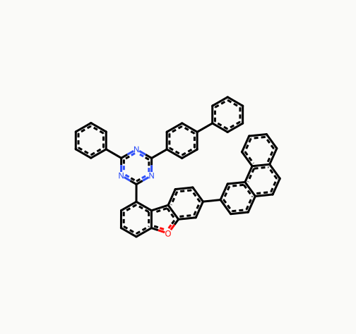 c1ccc(-c2ccc(-c3nc(-c4ccccc4)nc(-c4cccc5oc6cc(-c7ccc8ccc9ccccc9c8c7)ccc6c45)n3)cc2)cc1